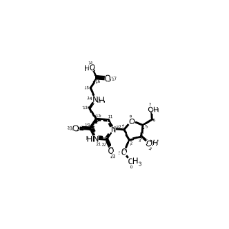 COC1C(O)C(CO)OC1n1cc(CNCC(=O)O)c(=O)[nH]c1=O